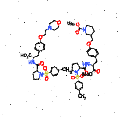 COC(=O)[C@H](Cc1ccc(OCC2CCCN(C(=O)OC(C)(C)C)C2)cc1)NC(=O)[C@@H]1CCCN1S(=O)(=O)c1ccc(C)cc1.Cc1ccc(S(=O)(=O)N2CCC[C@H]2C(=O)N[C@@H](Cc2ccc(OCCN3CCOCC3)cc2)C(=O)O)cc1